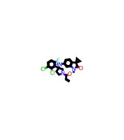 C=CC(=O)N1CCC(Nc2ccc3c(c2)N(C)C(=O)C32CC2)(c2c(F)ccc(Cl)c2Cl)C1